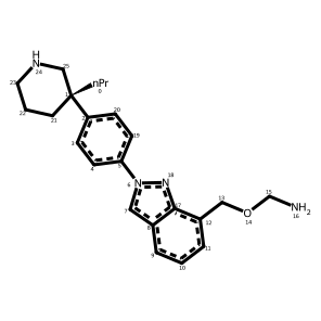 CCC[C@@]1(c2ccc(-n3cc4cccc(COCN)c4n3)cc2)CCCNC1